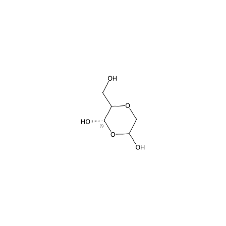 OCC1OCC(O)O[C@@H]1O